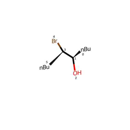 CCCC[C@@H](O)[C@H](Br)CCCC